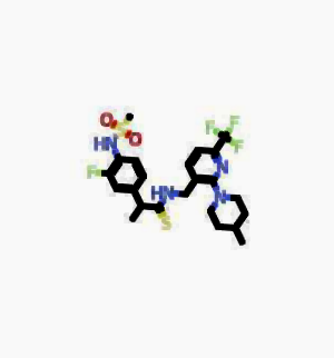 CC1CCN(c2nc(C(F)(F)F)ccc2CNC(=S)C(C)c2ccc(NS(C)(=O)=O)c(F)c2)CC1